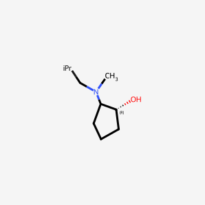 CC(C)CN(C)C1CCC[C@H]1O